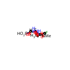 CNC(=O)c1c(-c2ccc(F)cc2)oc2cc(N(CC(=O)NC(C)C(=O)NCc3cccc(C(=O)/C=C(\O)C(=O)O)c3)S(C)(=O)=O)c(C3CC3)cc12